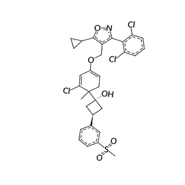 CC1([C@]2(O)C[C@H](c3cccc(S(C)(=O)=O)c3)C2)CC=C(OCc2c(-c3c(Cl)cccc3Cl)noc2C2CC2)C=C1Cl